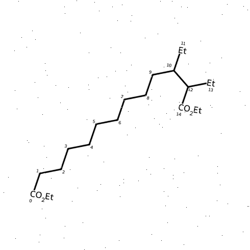 CCOC(=O)CCCCCCCCCC(CC)C(CC)C(=O)OCC